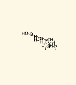 C[Si](C)(C)CCS(C)(C)CCCOCC(O)CNCCOCCO